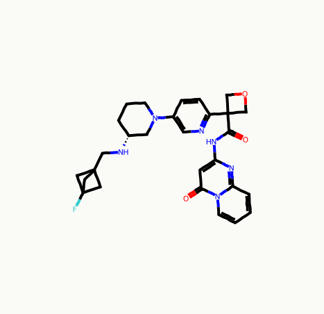 O=C(Nc1cc(=O)n2ccccc2n1)C1(c2ccc(N3CCC[C@@H](NCC45CC(F)(C4)C5)C3)cn2)COC1